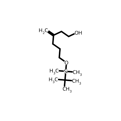 C=C(CCO)CCCO[Si](C)(C)C(C)(C)C